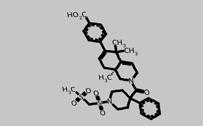 CC1(C)C(c2ccc(C(=O)O)cc2)=CC[C@]2(C)CN(C(=O)C3(c4ccccc4)CCN(S(=O)(=O)CS(C)(=O)=O)CC3)CC=C12